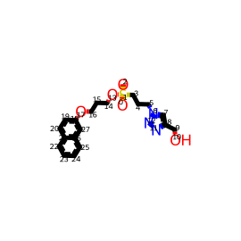 O=S(=O)(CCCn1cc(CO)nn1)OCCCOc1ccc2ccccc2c1